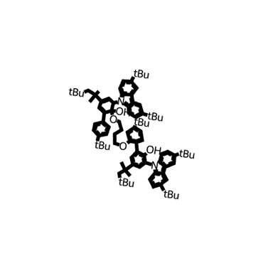 CC(C)(C)CC(C)(C)C1=CC(n2c3ccc(C(C)(C)C)cc3c3cc(C(C)(C)C)ccc32)C(O)(OCCCCOc2cc(C(C)(C)C)ccc2-c2cc(C(C)(C)CC(C)(C)C)cc(-n3c4ccc(C(C)(C)C)cc4c4cc(C(C)(C)C)ccc43)c2O)C(c2ccc(C(C)(C)C)cc2)=C1